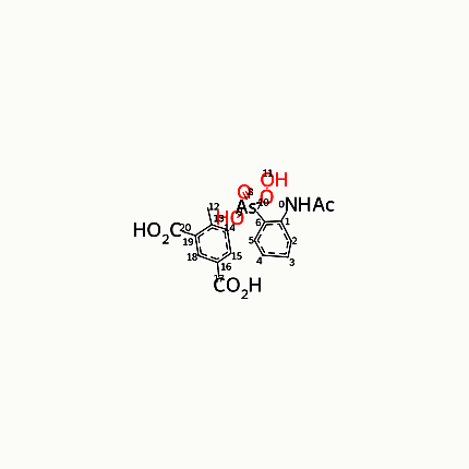 CC(=O)Nc1ccccc1[As](=O)(O)OO.Cc1ccc(C(=O)O)cc1C(=O)O